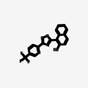 Oc1ccc2ccccc2c1-c1nc(-c2ccc(C(F)(F)F)cn2)no1